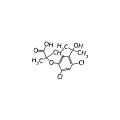 CC(C)(Oc1cc(C(C)(C)O)c(Cl)cc1Cl)C(=O)O